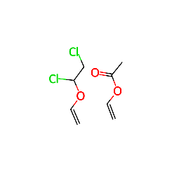 C=COC(C)=O.C=COC(Cl)CCl